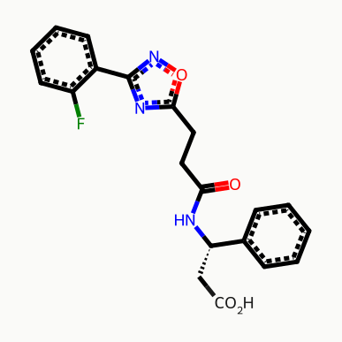 O=C(O)C[C@H](NC(=O)CCc1nc(-c2ccccc2F)no1)c1ccccc1